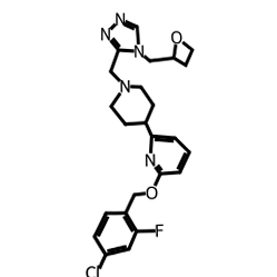 Fc1cc(Cl)ccc1COc1cccc(C2CCN(Cc3nncn3CC3CCO3)CC2)n1